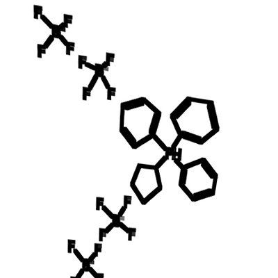 F[B-](F)(F)F.F[B-](F)(F)F.F[B-](F)(F)F.F[B-](F)(F)F.c1ccc([PH](c2ccccc2)(c2ccccc2)C2CCCC2)cc1